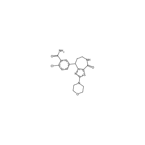 NC(=O)c1cc(C2CCNC(=O)c3sc(N4CCOCC4)nc32)ccc1Cl